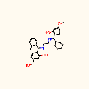 COc1ccc(/C(=N/CC/N=C(/c2ccc(CO)cc2O)C2C=CC=CC2C)c2ccccc2)c(O)c1